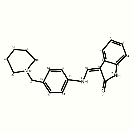 O=C1Nc2ccccc2/C1=C/Nc1ccc(CN2CCCCC2)cc1